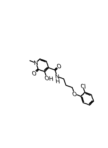 Cn1ccc(C(=O)NCCCOc2ccccc2Cl)c(O)c1=O